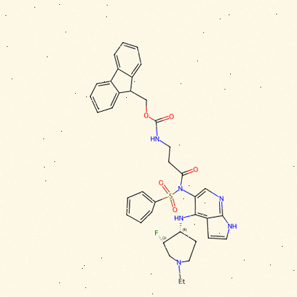 CCN1CC[C@@H](Nc2c(N(C(=O)CCNC(=O)OCC3c4ccccc4-c4ccccc43)S(=O)(=O)c3ccccc3)cnc3[nH]ccc23)[C@@H](F)C1